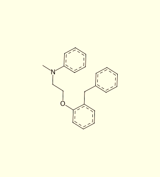 CN(CCOc1ccccc1Cc1ccccc1)c1ccccc1